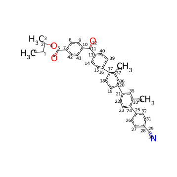 CCC(C)OC(=O)c1ccc(C(=O)c2ccc(-c3ccc(-c4ccc(-c5ccc(C#N)cc5)c(C)c4)cc3C)cc2)cc1